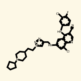 N#Cc1cnc2c(Cl)cc(NCc3cn(CCC4CCN(C5CCCC5)CC4)nn3)cc2c1Nc1ccc(F)c(Cl)c1